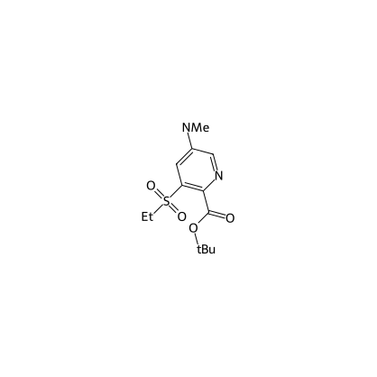 CCS(=O)(=O)c1cc(NC)cnc1C(=O)OC(C)(C)C